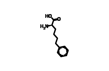 N[C@H](CCCCc1ccccc1)C(=O)O